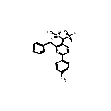 Cc1ccc(-c2cnc(C(S(C)(=O)=O)S(C)(=O)=O)c(Cc3ccccc3)n2)cc1